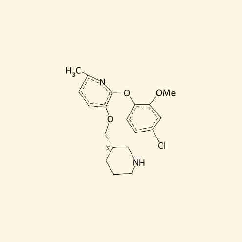 COc1cc(Cl)ccc1Oc1nc(C)ccc1OC[C@H]1CCCNC1